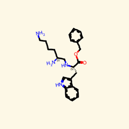 NCCCC[C@H](N)CN[C@@H](Cc1c[nH]c2ccccc12)C(=O)OCc1ccccc1